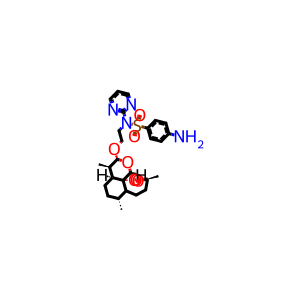 C[C@H]1[C@@H](OCCN(c2ncccn2)S(=O)(=O)c2ccc(N)cc2)O[C@@H]2O[C@@]3(C)CCC4[C@H](C)CC[C@@H]1[C@]42OO3